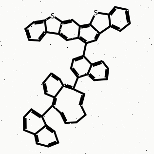 C1=C/C(c2cccc3ccccc23)=c2/cccc/c2=C(c2ccc(-c3cc4c5ccccc5sc4c4cc5sc6ccccc6c5cc34)c3ccccc23)/C=C/CC/1